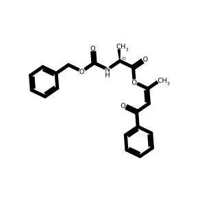 CC(=CC(=O)c1ccccc1)OC(=O)[C@H](C)NC(=O)OCc1ccccc1